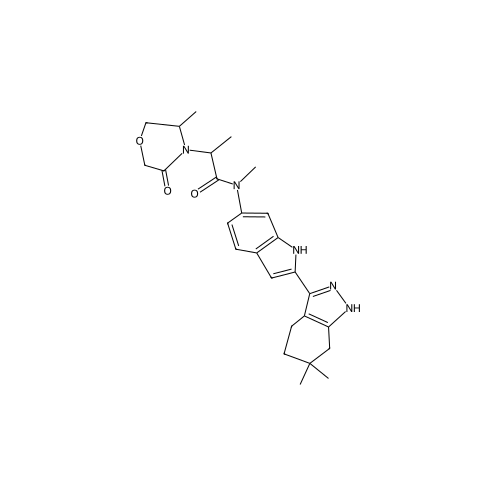 CC1COCC(=O)N1C(C)C(=O)N(C)c1ccc2cc(-c3n[nH]c4c3CCC(C)(C)C4)[nH]c2c1